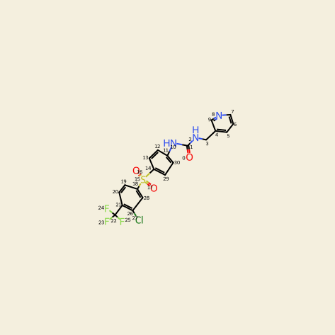 O=C(NCc1cccnc1)Nc1ccc(S(=O)(=O)c2ccc(C(F)(F)F)c(Cl)c2)cc1